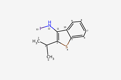 CC(C)c1sc2ccccc2c1NI